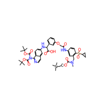 CN(Cc1cc(NC(=O)COc2cccc(C(Nc3ccc4c(N(C(=O)OC(C)(C)C)C(=O)OC(C)(C)C)nccc4c3)C(=O)O)c2)ccc1S(=O)(=O)C1CC1)C(=O)OCC[Si](C)(C)C